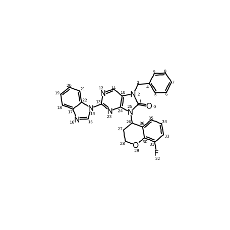 O=c1n(Cc2ccccc2)c2cnc(-n3cnc4ccccc43)nc2n1C1CCOc2c(F)cccc21